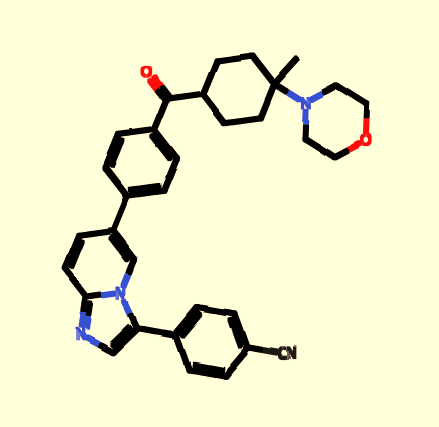 CC1(N2CCOCC2)CCC(C(=O)c2ccc(-c3ccc4ncc(-c5ccc(C#N)cc5)n4c3)cc2)CC1